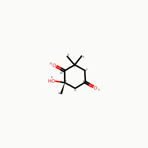 CC1(C)CC(=O)C[C@](C)(O)C1=O